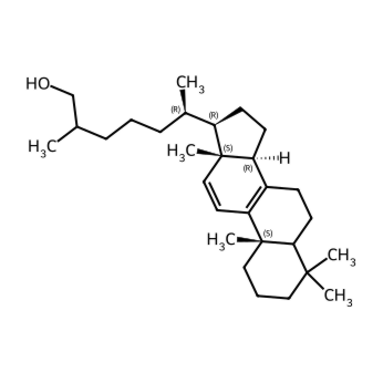 CC(CO)CCC[C@@H](C)[C@H]1CC[C@H]2C3=C(C=C[C@]12C)[C@@]1(C)CCCC(C)(C)C1CC3